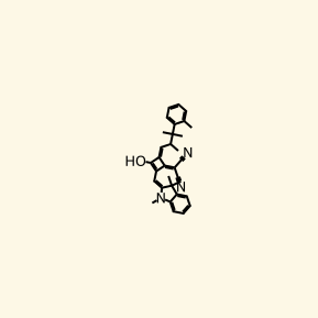 Cc1ccccc1C(C)(C)C(C)/C=C1C(O)=C(/C=C2/N(C)c3ccccc3C2(C)C)C/1=C(C#N)C#N